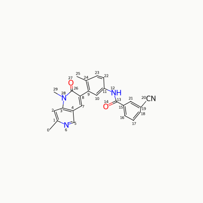 Cc1cc2c(cn1)cc(-c1cc(NC(=O)c3cccc(C#N)c3)ccc1C)c(=O)n2C